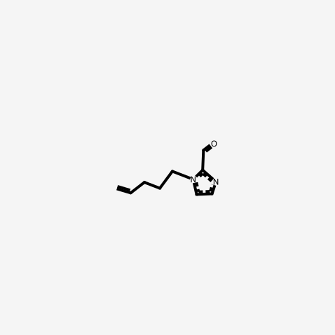 C=CCCCn1ccnc1C=O